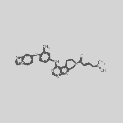 Cc1cc(Nc2ncnc3sc4c(c23)CCN(C(=O)/C=C/CN(C)C)C4)ccc1Oc1ccn2ccnc2c1